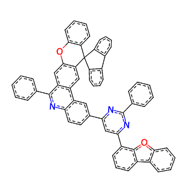 c1ccc(-c2nc(-c3ccc4nc(-c5ccccc5)c5cc6c(cc5c4c3)C3(c4ccccc4O6)c4ccccc4-c4ccccc43)cc(-c3cccc4c3oc3ccccc34)n2)cc1